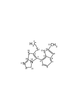 CSC1=C(c2cccc3cc(C)sc23)N2CCN=C2S1